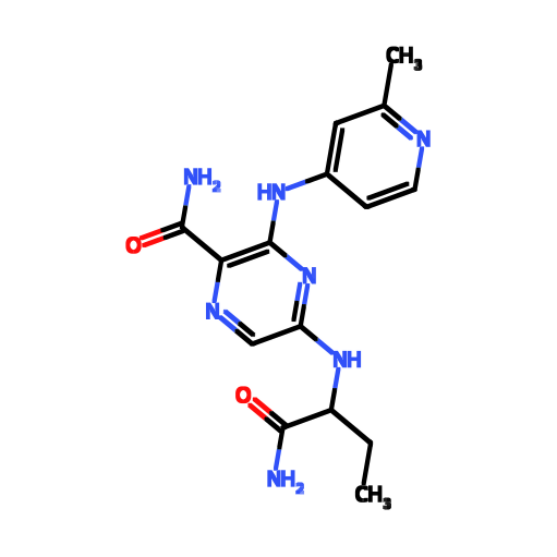 CCC(Nc1cnc(C(N)=O)c(Nc2ccnc(C)c2)n1)C(N)=O